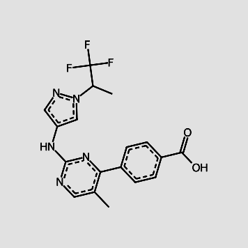 Cc1cnc(Nc2cnn(C(C)C(F)(F)F)c2)nc1-c1ccc(C(=O)O)cc1